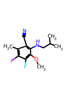 COc1c(F)c(I)c(C)c(C#N)c1NCC(C)C